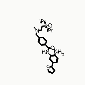 CC(C)P(=O)(CCN(C)Cc1ccc(C(=O)Nc2cc(-c3cccs3)ccc2N)cc1)C(C)C